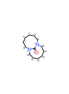 O=C1N2CCCCCCN1CCCCCC2